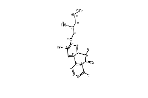 Cc1nccc2c1c(=O)n(C)c1cc(OCC(O)CNC(C)C)c(Br)cc21